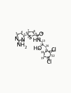 Nc1nccc(-c2ccc(C(=O)NCC(O)Cc3ccc(Cl)cc3Cl)s2)n1